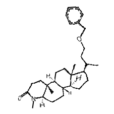 CC(CCOCc1ccccc1)[C@H]1CC[C@H]2[C@@H]3CC[C@H]4N(C)C(=O)CC[C@]4(C)[C@H]3CC[C@]12C